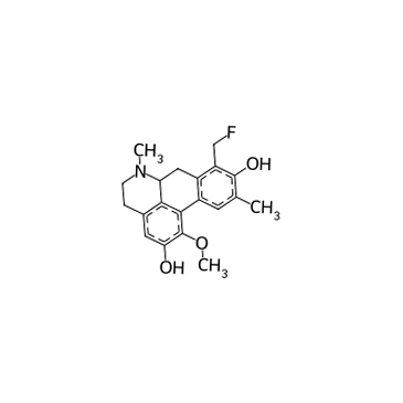 COc1c(O)cc2c3c1-c1cc(C)c(O)c(CF)c1CC3N(C)CC2